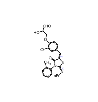 CCC/N=C1/S/C(=C/c2ccc(OCC(O)C=O)c(Cl)c2)C(=O)N1c1ccccc1C